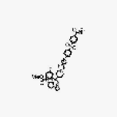 CCNC(=O)c1ccc(S(=O)(=O)c2ccc(N3CC(F)(CN4CCC(C(CN5CCC5)(c5cccc(F)c5)[C@H]5CCC[C@@H]5NC(=O)OC)CC4)C3)cc2)cc1